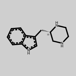 c1ccc2c(C[C@H]3CNCCN3)c[nH]c2c1